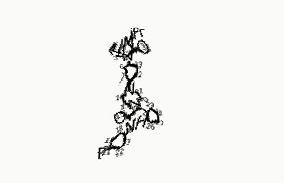 CC(C)n1ncn(-c2ccc(N3CCN(C(C(=O)Nc4ccc(F)cc4)c4ccccc4)CC3)cc2)c1=O